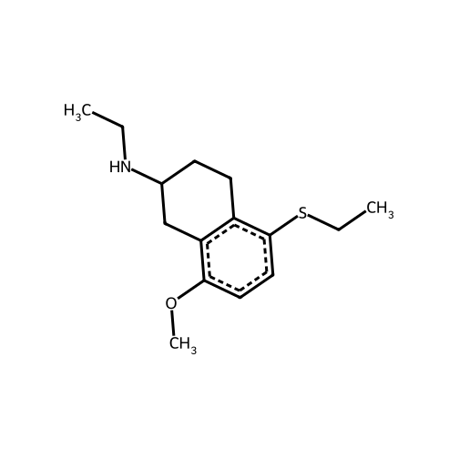 CCNC1CCc2c(SCC)ccc(OC)c2C1